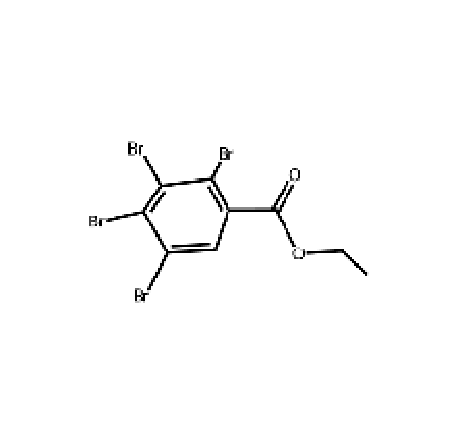 CCOC(=O)c1cc(Br)c(Br)c(Br)c1Br